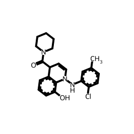 Cc1ccc(Cl)c(NN2C=CC(C(=O)N3CCCCC3)c3cccc(O)c32)c1